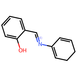 Oc1ccccc1/C=N/C1=CCCC=C1